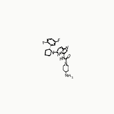 NC1CCN(C(=O)Nc2cnc3ccc(N4CCC[C@@H]4c4cc(F)ccc4F)nn23)CC1